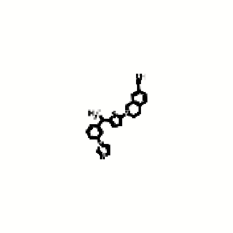 C#Cc1ccc2c(c1)CN(c1ccc(C(C)c3cccc(-n4ccnc4)c3)s1)CC2